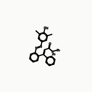 Cc1cc(N=Nc2ccccc2C(=CC(=O)N(C(C)C)C(C)C)c2ccccc2)cc(C)c1O